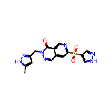 Cc1cc(Cn2ncc3cc(S(=O)(=O)c4cn[nH]c4)ncc3c2=O)n[nH]1